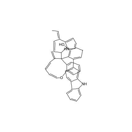 C=C1/C=C\C=C/Oc2ccccc2C1(C1=C(O)CCC=C1c1ccc2c(c1)[nH]c1ccccc12)C(C)/C=C\C(=C/C)c1ccc[nH]1